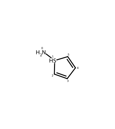 N[SH]1C=CC=C1